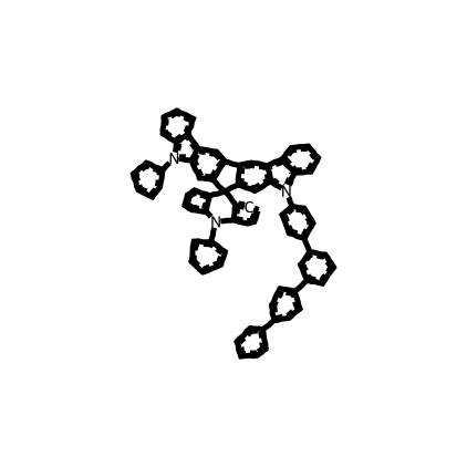 c1ccc(-c2ccc(-c3cccc(-c4ccc(-n5c6ccccc6c6cc7c(cc65)C5(c6cc8c(cc6-7)c6ccccc6n8-c6ccccc6)c6ccccc6N(c6ccccc6)c6ccccc65)cc4)c3)cc2)cc1